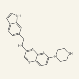 c1cc2ccc(CNc3cnc4ccc(N5CCNCC5)nc4n3)cc2[nH]1